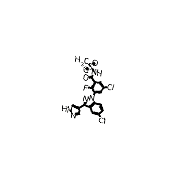 CS(=O)(=O)NC(=O)c1cc(Cl)cc(-n2nc(-c3cn[nH]c3)c3cc(Cl)ccc32)c1F